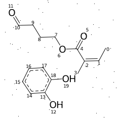 CC=C(C)C(=O)OCCCC=O.Oc1ccccc1O